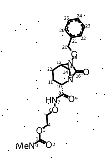 CNC(=O)OCCONC(=O)[C@@H]1CCC2CN1C(=O)N2OCc1ccccc1